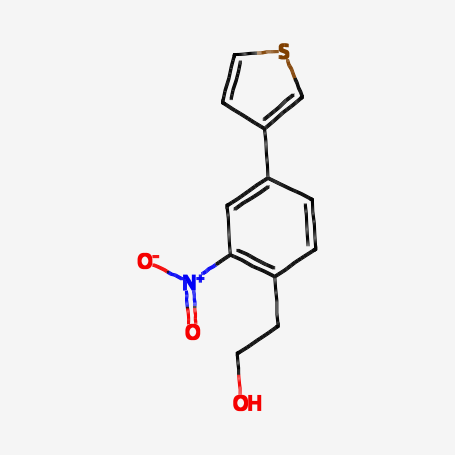 O=[N+]([O-])c1cc(-c2ccsc2)ccc1CCO